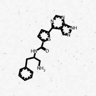 NCC(Cc1ccccc1)NC(=O)c1ccc(-c2ncnc3[nH]ncc23)s1